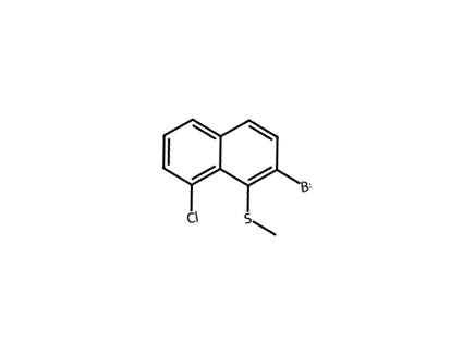 [B]c1ccc2cccc(Cl)c2c1SC